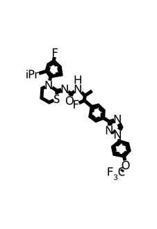 CC(C)c1cc(F)ccc1N1CCCS/C1=N\C(=O)NC(C)C(F)c1ccc(-c2ncn(-c3ccc(OC(F)(F)F)cc3)n2)cc1